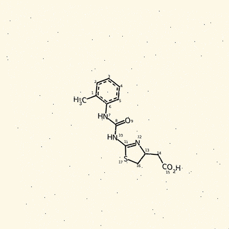 Cc1ccccc1NC(=O)NC1=NC(CC(=O)O)CS1